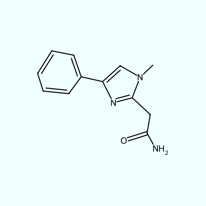 Cn1cc(-c2ccccc2)nc1CC(N)=O